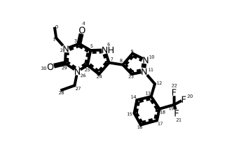 CCn1c(=O)c2[nH]c(-c3cnn(Cc4ccccc4C(F)(F)F)c3)cc2n(CC)c1=O